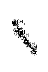 Cn1nnnc1SCC1=C(C(=O)O)N2C(=O)[C@H](NC(=O)Cc3cccc(NC(=O)NCC(=O)c4cccs4)c3)[C@@H]2SC1